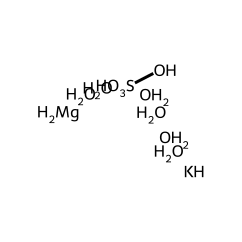 O.O.O.O.O.O.O=S(=O)(O)O.[KH].[MgH2]